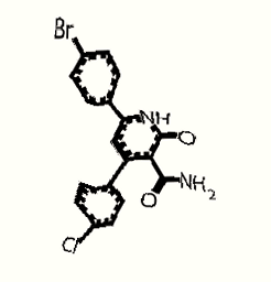 NC(=O)c1c(-c2ccc(Cl)cc2)cc(-c2ccc(Br)cc2)[nH]c1=O